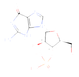 Nc1nc(=O)c2ncn([C@@H]3O[C@@H](CO)[C@H](OP(=O)(O)O)[C@H]3O)c2[nH]1